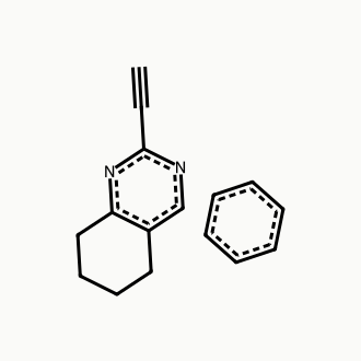 C#Cc1ncc2c(n1)CCCC2.c1ccccc1